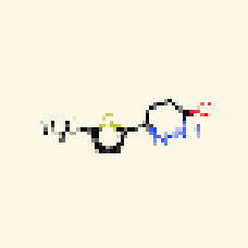 Cc1ccc(C2=NNC(=O)CC2)s1